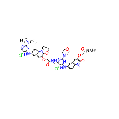 CNC(=O)COc1cc2cc(Nc3nc(N4CCOCC4)nc(CNC(=O)COc4cc5cc(Nc6nc(N(C)C)ncc6Cl)ccc5n(C)c4=O)c3Cl)ccc2n(I)c1=O